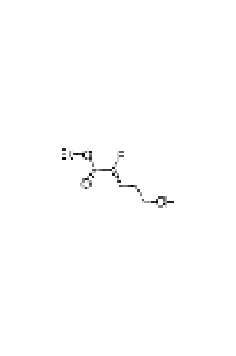 CCOC(=O)C(F)=CCCO